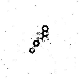 O=C(Nc1ccc(N2CCCC2)cc1)c1c(O)c2c(oc1=O)CCCC2